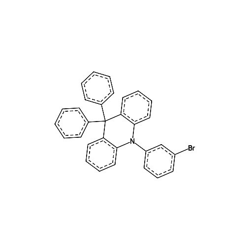 Brc1cccc(N2c3ccccc3C(c3ccccc3)(c3ccccc3)c3ccccc32)c1